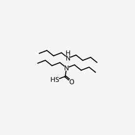 CCCCN(CCCC)C(=O)S.CCCCNCCCC